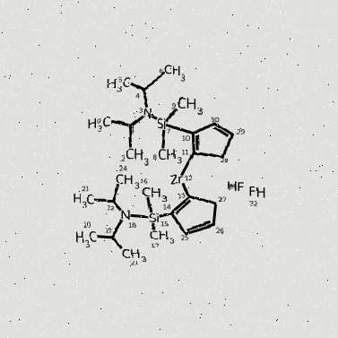 CC(C)N(C(C)C)[Si](C)(C)C1=[C]([Zr][C]2=C([Si](C)(C)N(C(C)C)C(C)C)C=CC2)CC=C1.F.F